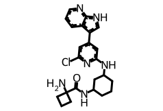 NC1(C(=O)NC2CCCC(Nc3cc(-c4c[nH]c5ncccc45)cc(Cl)n3)C2)CCC1